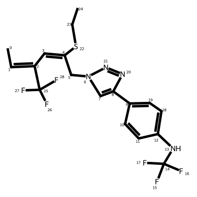 C/C=C(\C=C(/Cn1cc(-c2ccc(NC(F)(F)F)cc2)nn1)SCC)C(F)(F)F